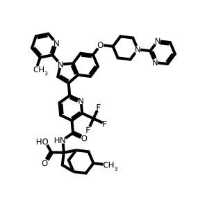 Cc1cccnc1-n1cc(-c2ccc(C(=O)NC3(C(=O)O)CC4CC(C)CC3C4)c(C(F)(F)F)n2)c2ccc(OC3CCN(c4ncccn4)CC3)cc21